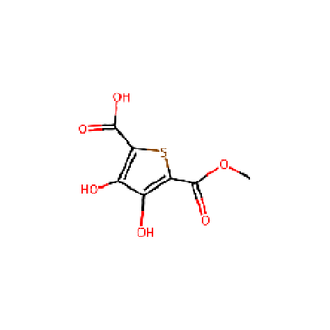 COC(=O)c1sc(C(=O)O)c(O)c1O